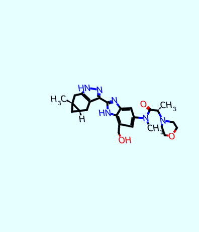 C[C@@H](C(=O)N(C)c1cc(CO)c2[nH]c(-c3n[nH]c4c3C[C@@H]3C[C@]3(C)C4)nc2c1)N1CCOCC1